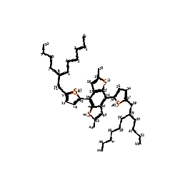 CCCCCCC(CCCC)Cc1ccc(-c2c3cc(C)sc3c(-c3ccc(CC(CCCC)CCCCCC)s3)c3cc(C)sc23)s1